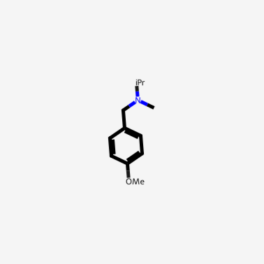 COc1ccc(CN(C)C(C)C)cc1